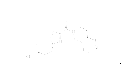 NNC1=C(N)CN(C(=O)c2cc3n(n2)CCN(C=O)CC3)CC1